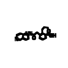 O=C(Cc1cccc2c1CCCOB2O)Nc1ccc2cnccc2c1